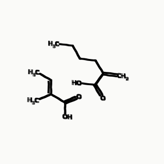 C/C=C(\C)C(=O)O.C=C(CCCC)C(=O)O